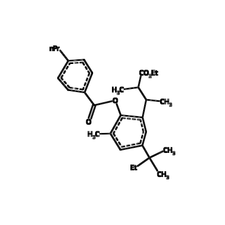 CCCc1ccc(C(=O)Oc2c(C)cc(C(C)(C)CC)cc2C(C)C(C)C(=O)OCC)cc1